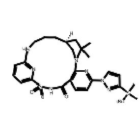 CC1(C)C[C@@H]2CCCNc3cccc(n3)S(=O)(=O)NC(=O)c3ccc(-n4ccc(S(C)(C)C(C)(C)C)n4)nc3N1C2